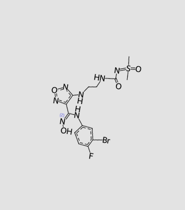 CS(C)(=O)=NC(=O)NCCNc1nonc1/C(=N/O)Nc1ccc(F)c(Br)c1